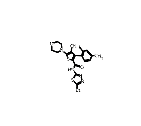 CCc1nnc(NC(=O)c2sc(N3CCOCC3)c(C#N)c2-c2ccc(C)cc2I)s1